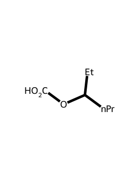 CCCC(CC)OC(=O)O